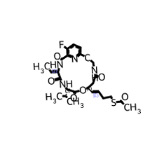 C/C=C1\NC(=O)c2nc(ccc2F)CCNC(=O)C[C@@H](/C=C/CCSC(C)=O)OC(=O)[C@H](C(C)C)NC1=O